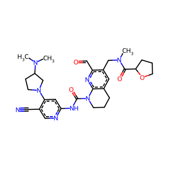 CN(Cc1cc2c(nc1C=O)N(C(=O)Nc1cc(N3CCC(N(C)C)C3)c(C#N)cn1)CCC2)C(=O)C1CCCO1